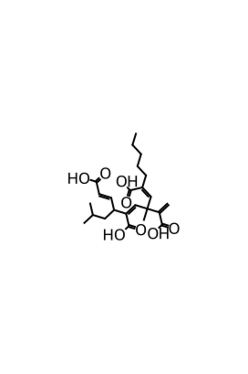 C=C(C(=O)O)C(C)(C=C(CCCCC)C(=O)O)C=C(C(=O)O)C(C=CC(=O)O)CC(C)C